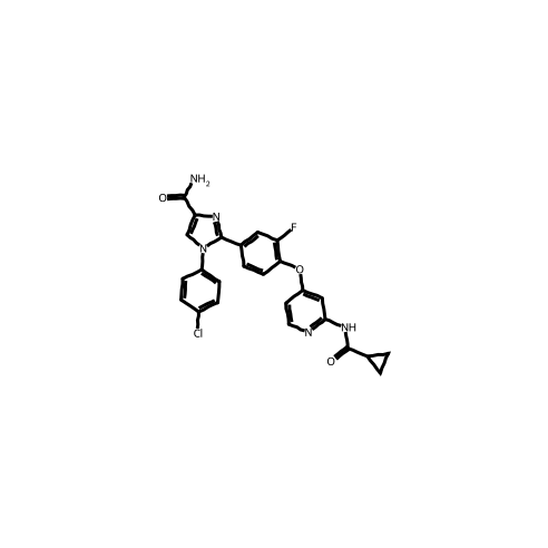 NC(=O)c1cn(-c2ccc(Cl)cc2)c(-c2ccc(Oc3ccnc(NC(=O)C4CC4)c3)c(F)c2)n1